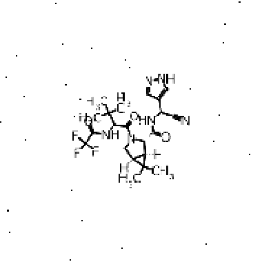 CC(C)(C)[C@H](NC(=O)C(F)(F)F)C(=O)N1C[C@H]2[C@@H]([C@H]1C(=O)NC(C#N)c1cn[nH]c1)C2(C)C